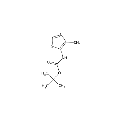 Cc1ncsc1NC(=O)OC(C)(C)C